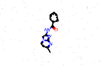 Cc1ccn2cc(NC(=O)c3ccccc3)nc2n1